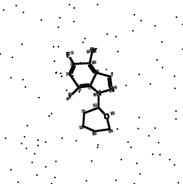 Fc1cc(F)c2c(cnn2C2CCCCO2)c1Br